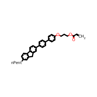 C=CC(=O)OCCCOc1ccc(-c2ccc(-c3ccc4c(c3)Cc3cc(CCCCC)ccc3-4)cc2)cc1